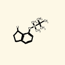 CC(C)(C)[Si](C)(C)Oc1cccc2c1C(Cl)CC2